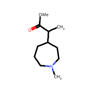 COC(=O)C(C)C1CCCN(C)CC1